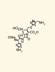 CO/N=C(\C(=O)NC1C(=O)N2C(C(=O)O)=C(CSc3nnc(CN)s3)CS[C@H]12)c1csc(N)n1.Cl.Cl